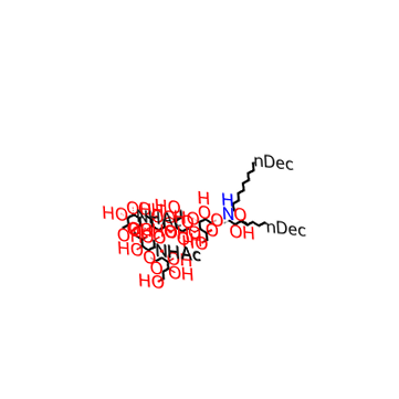 CCCCCCCCCCCCC/C=C/[C@@H](O)[C@H](CO[C@@H]1OC(CO)[C@@H](O[C@@H]2OC(CO)[C@H](O[C@@H]3OC(CO)[C@H](O[C@@H]4OC(CO)[C@H](O)[C@H](O)C4NC(C)=O)[C@H](O[C@@H]4OC(CO)[C@H](O)[C@H](O[C@H]5OC(CO)[C@H](O)[C@H](O)C5NC(C)=O)C4NC(C)=O)C3O)[C@H](O)C2O)[C@H](O)C1O)NC(=O)CCCCCCCCCCCCCCCCCCC